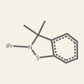 CC(C)N1Sc2ccccc2C1(C)C